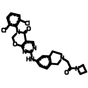 O=C(CN1CCc2cc(Nc3ncc4c(n3)OCN(c3c(Cl)cccc3Cl)C4=O)ccc2C1)N1CCC1